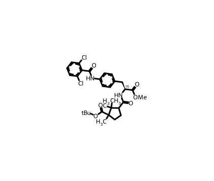 COC(=O)[C@H](Cc1ccc(NC(=O)c2c(Cl)cccc2Cl)cc1)NC(=O)C1CCC(C)(C(=O)OC(C)(C)C)C1(C)C